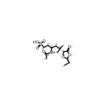 CCC1OC(=O)[C@@H](C(C)(C)CC(CCS(=O)(=O)O)NC(C)=O)O1